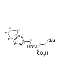 CC(C)(C)CCC(NCc1ccc2c(c1)CCCC2)C(=O)O